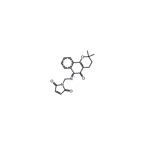 CC1(C)CCC2=C(O1)c1ccccc1/C(=N\CN1C(=O)C=CC1=O)C2=O